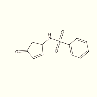 O=C1C=CC(NS(=O)(=O)c2ccccc2)C1